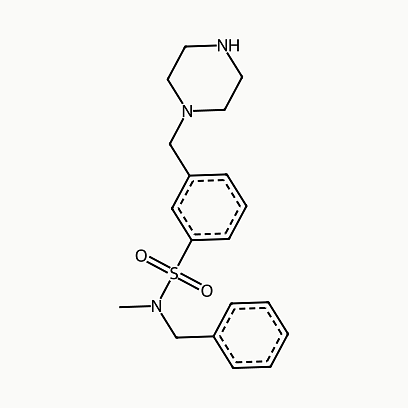 CN(Cc1ccccc1)S(=O)(=O)c1cccc(CN2CCNCC2)c1